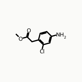 COC(=O)Cc1ccc(N)cc1Cl